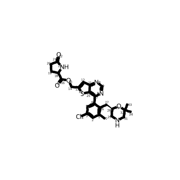 Cc1cc(Cl)cc(-c2ncnc3cc(COC(=O)C4CCC(=O)N4)sc23)c1C[C@@H]1CNCC(C)(C)O1